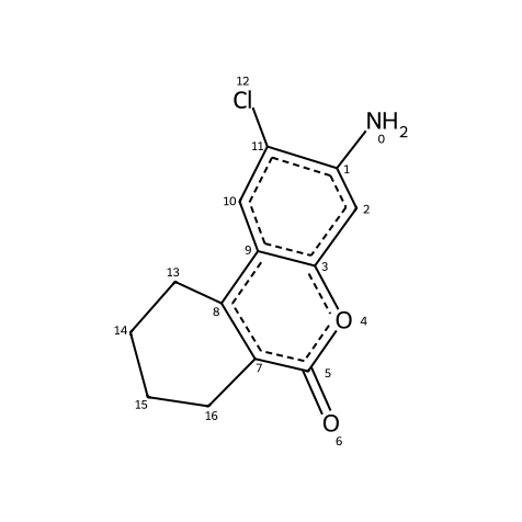 Nc1cc2oc(=O)c3c(c2cc1Cl)CCCC3